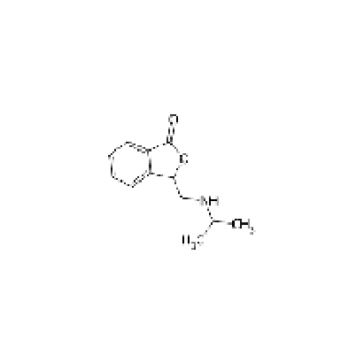 CC(C)NCC1OC(=O)c2ccccc21